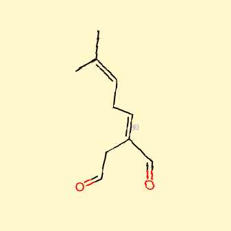 CC(C)=CC/C=C(/C=O)CC=O